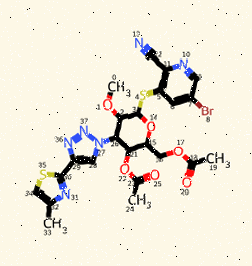 COC1C(Sc2cc(Br)cnc2C#N)OC(COC(C)=O)C(OC(C)=O)C1n1cc(-c2nc(C)cs2)nn1